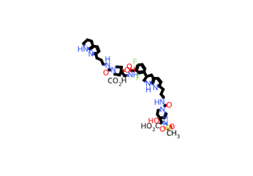 CS(=O)(=O)NC(C(=O)O)C1(O)CCN(C(=O)NCCCc2ccc3c(n2)NCC(c2ccc(F)c(C(=O)NC(C(=O)O)C4(O)CCN(C(=O)NCCCc5ccc6c(n5)NCCC6)CC4)c2F)C3)CC1